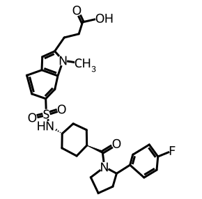 Cn1c(CCC(=O)O)cc2ccc(S(=O)(=O)N[C@H]3CC[C@H](C(=O)N4CCCC4c4ccc(F)cc4)CC3)cc21